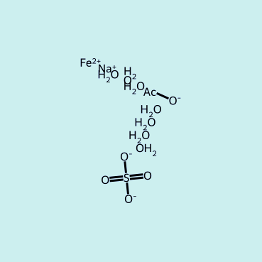 CC(=O)[O-].O.O.O.O.O.O.O.O=S(=O)([O-])[O-].[Fe+2].[Na+]